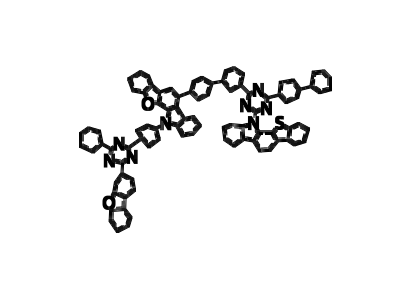 c1ccc(-c2ccc(-c3nc(-c4cccc(-c5ccc(-c6cc7c8ccccc8oc7c7c6c6ccccc6n7-c6ccc(-c7nc(-c8ccccc8)nc(-c8ccc9c(c8)oc8ccccc89)n7)cc6)cc5)c4)nc(-n4c5ccccc5c5ccc6c7ccccc7sc6c54)n3)cc2)cc1